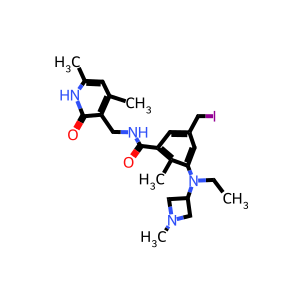 CCN(c1cc(CI)cc(C(=O)NCc2c(C)cc(C)[nH]c2=O)c1C)C1CN(C)C1